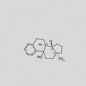 C[C@@]12CCC[C@H]1[C@@H]1CCc3ccccc3C1(O)CC2